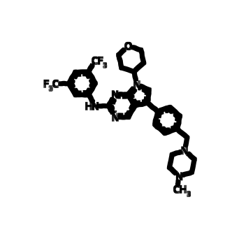 CN1CCN(Cc2ccc(-c3cn(C4CCOCC4)c4nc(Nc5cc(C(F)(F)F)cc(C(F)(F)F)c5)ncc34)cc2)CC1